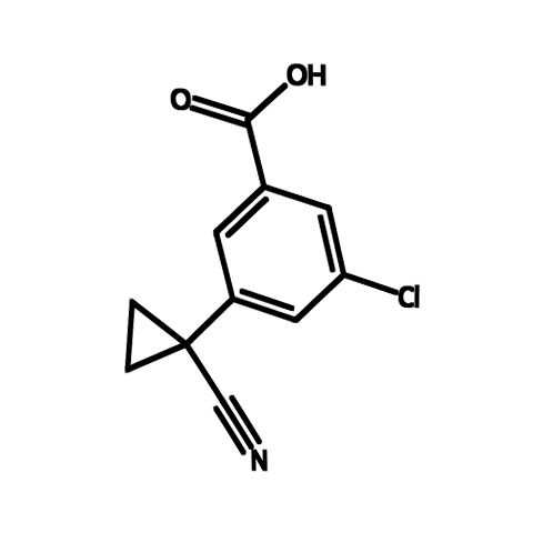 N#CC1(c2cc(Cl)cc(C(=O)O)c2)CC1